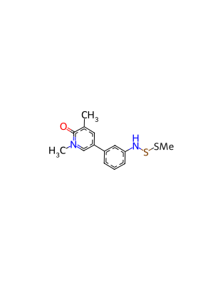 CSSNc1cccc(-c2cc(C)c(=O)n(C)c2)c1